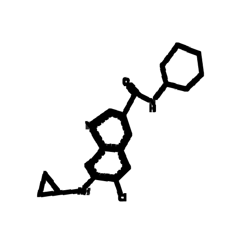 O=C(NC1CCCCC1)c1cnc2cc(NC3CC3)c(Cl)cc2c1